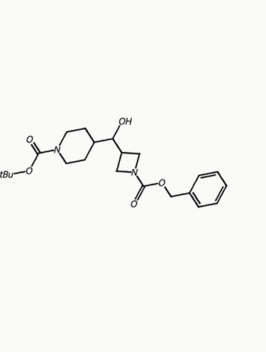 CC(C)(C)OC(=O)N1CCC(C(O)C2CN(C(=O)OCc3ccccc3)C2)CC1